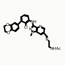 CC(=O)NCCN=Cc1cnc2c(Nc3cccc(-c4ccc5c(c4)OCCO5)c3Cl)nn(C)c2c1